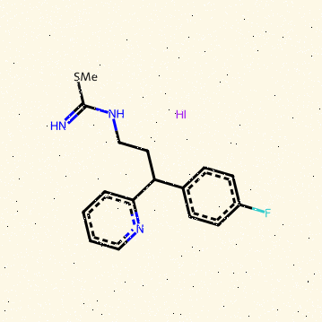 CSC(=N)NCCC(c1ccc(F)cc1)c1ccccn1.I